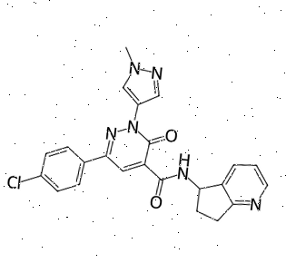 Cn1cc(-n2nc(-c3ccc(Cl)cc3)cc(C(=O)NC3CCc4ncccc43)c2=O)cn1